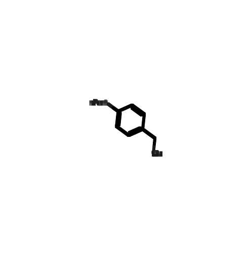 [CH2]CCCCc1ccc(CC(C)(C)C)cc1